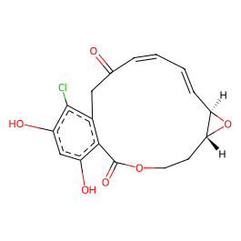 O=C1/C=C\C=C\[C@H]2O[C@@H]2CCOC(=O)c2c(O)cc(O)c(Cl)c2C1